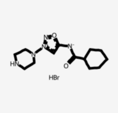 Br.O=C([N-]c1c[n+](N2CCNCC2)no1)C1CCCCC1